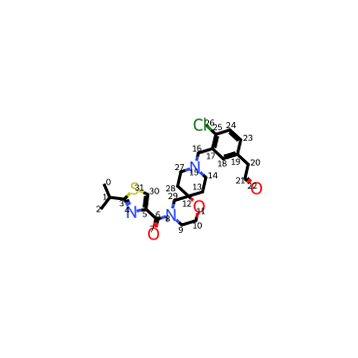 CC(C)c1nc(C(=O)N2CCOC3(CCN(Cc4cc(CC=O)ccc4Cl)CC3)C2)cs1